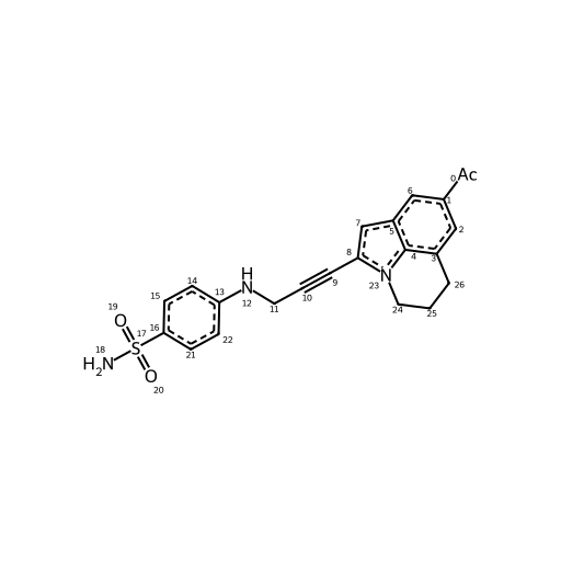 CC(=O)c1cc2c3c(c1)cc(C#CCNc1ccc(S(N)(=O)=O)cc1)n3CCC2